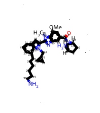 COc1cc(C(=O)N2C[C@H]3CC[C@@H]2[C@@H]3N)cc2nc(-c3cc4cccc(CCCCCCN)c4n3CC3CC3)n(C)c12